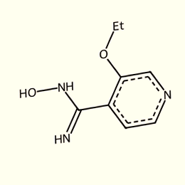 CCOc1cnccc1C(=N)NO